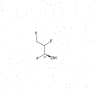 O[C@@H](F)C(F)CF